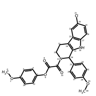 COc1ccc(OC(=O)C(=O)N2CCc3c([nH]c4ccc(Cl)cc34)C2c2ccc(OC)cc2)cc1